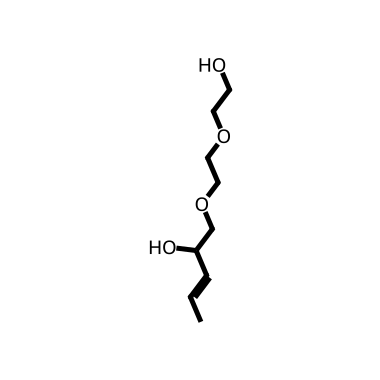 CC=CC(O)COCCOCCO